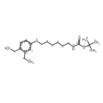 CCc1ccc(OCCCCCCNC(=O)OC(C)(C)C)cc1CC